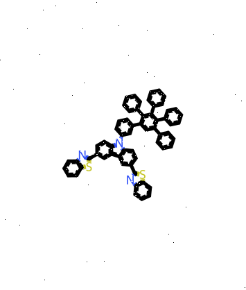 c1ccc(-c2cc(-c3cccc(-n4c5ccc(-c6nc7ccccc7s6)cc5c5cc(-c6nc7ccccc7s6)ccc54)c3)c(-c3ccccc3)c(-c3ccccc3)c2-c2ccccc2)cc1